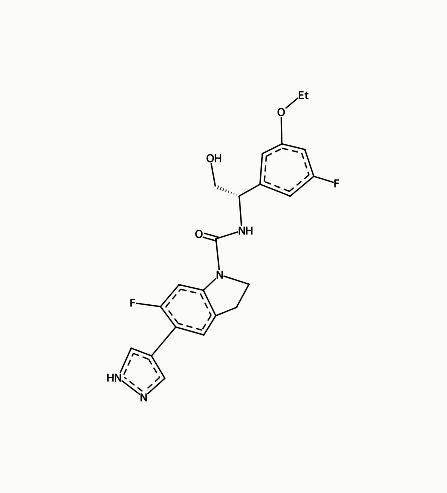 CCOc1cc(F)cc([C@@H](CO)NC(=O)N2CCc3cc(-c4cn[nH]c4)c(F)cc32)c1